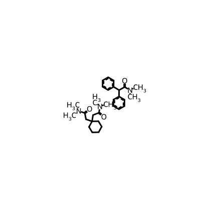 CN(C)C(=O)C(c1ccccc1)c1ccccc1.CN(C)C(=O)CC1(CC(=O)N(C)C)CCCCC1